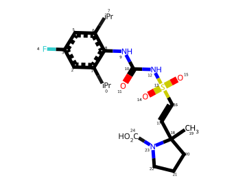 CC(C)c1cc(F)cc(C(C)C)c1NC(=O)NS(=O)(=O)C=CC1(C)CCCN1C(=O)O